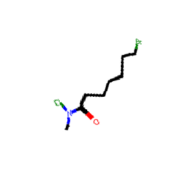 CN(Cl)C(=O)CCCCCCBr